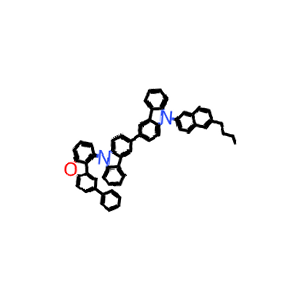 CCCCc1ccc2cc(-n3c4ccccc4c4cc(-c5ccc6c(c5)c5ccccc5n6-c5cccc6oc7ccc(-c8ccccc8)cc7c56)ccc43)ccc2c1